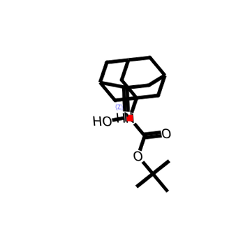 CC(C)(C)OC(=O)NC12CC3C/C(=N/O)C(CC(C3)C1)C2